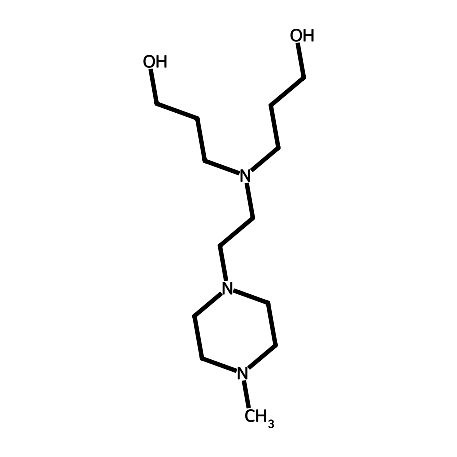 CN1CCN(CCN(CCCO)CCCO)CC1